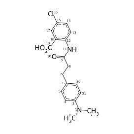 CN(C)c1ccc(CCC(=O)Nc2ccc(Cl)cc2C(=O)O)cc1